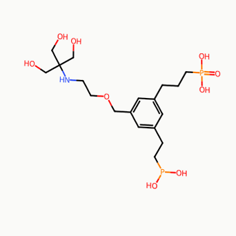 O=P(O)(O)CCCc1cc(CCP(O)O)cc(COCCNC(CO)(CO)CO)c1